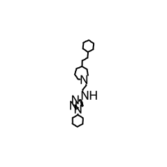 c1c(NCCN2CCCC(CCC3CCCCC3)CC2)nnn1C1CCCCC1